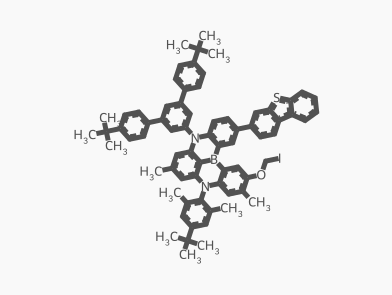 Cc1cc2c3c(c1)N(c1c(C)cc(C(C)(C)C)cc1C)c1cc(C)c(OCI)cc1B3c1cc(-c3ccc4c(c3)sc3ccccc34)ccc1N2c1cc(-c2ccc(C(C)(C)C)cc2)cc(-c2ccc(C(C)(C)C)cc2)c1